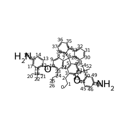 CCCc1cc(C2(c3ccc(Oc4ccc(N)cc4C(C)(C)C)c(CCC)c3)c3ccccc3-c3ccccc32)ccc1Oc1ccc(N)cc1C(C)(C)C